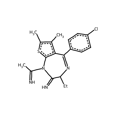 CCC1N=C(c2ccc(Cl)cc2)c2c(sc(C)c2C)N(C(C)=N)C1=N